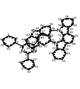 c1ccc(-c2nc(-c3ccccc3)nc(-c3cccc(-n4c5ccccc5c5ccc6c7ccccc7n(-c7ccc8sc9ccccc9c8c7)c6c54)c3)n2)cc1